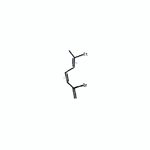 C=C(Br)/C=C\C=C(/C)CC